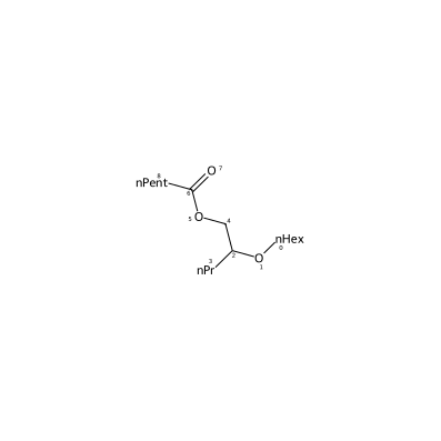 CCCCCCOC(CCC)COC(=O)CCCCC